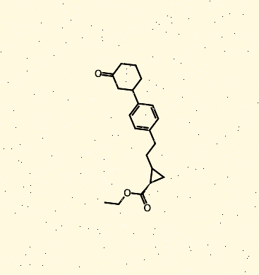 CCOC(=O)[C@@H]1CC1CCc1ccc(C2CCCC(=O)C2)cc1